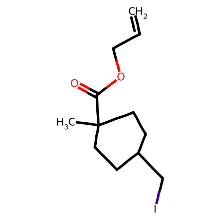 C=CCOC(=O)C1(C)CCC(CI)CC1